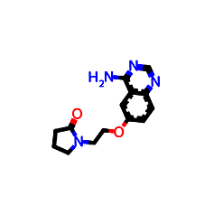 Nc1ncnc2ccc(OCCN3CCCC3=O)cc12